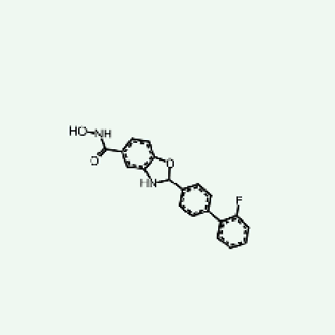 O=C(NO)c1ccc2c(c1)NC(c1ccc(-c3ccccc3F)cc1)O2